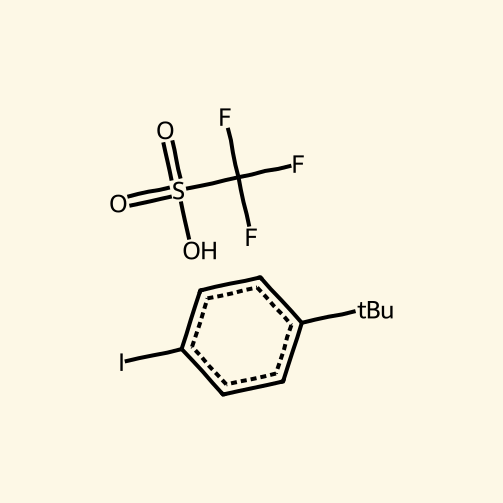 CC(C)(C)c1ccc(I)cc1.O=S(=O)(O)C(F)(F)F